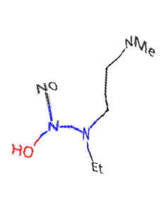 CCN(CCNC)N(O)N=O